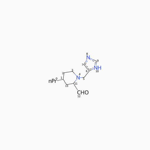 CCCC1CCN(Cc2cnc[nH]2)C(C=O)C1